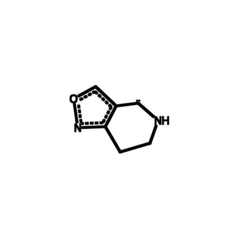 [C]1NCCc2nocc21